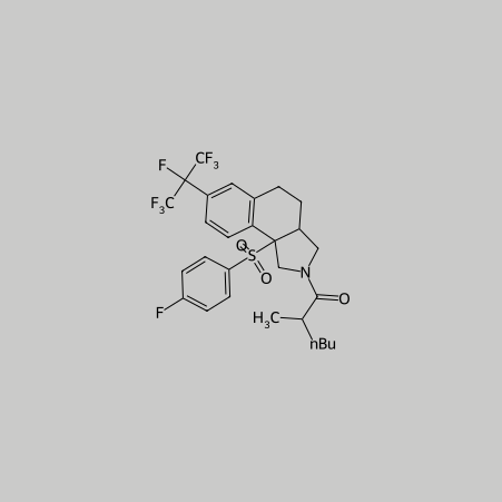 CCCCC(C)C(=O)N1CC2CCc3cc(C(F)(C(F)(F)F)C(F)(F)F)ccc3C2(S(=O)(=O)c2ccc(F)cc2)C1